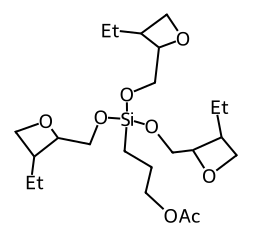 CCC1COC1CO[Si](CCCOC(C)=O)(OCC1OCC1CC)OCC1OCC1CC